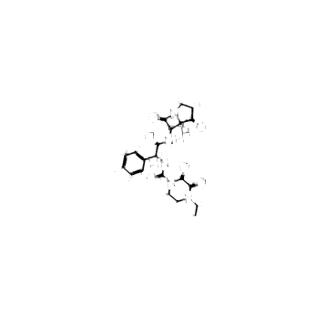 CCN1CCN(C(=O)NC(C(=O)NC2C(=O)N3CCC(=O)[C@H]23)c2ccccc2)C(=O)C1=O